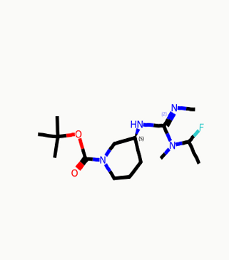 C/N=C(/N[C@H]1CCCN(C(=O)OC(C)(C)C)C1)N(C)C(C)F